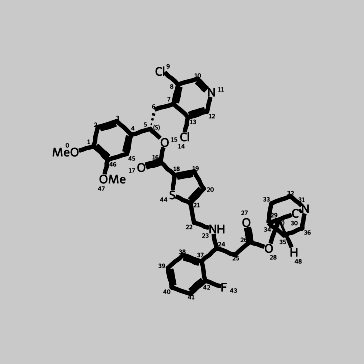 COc1ccc([C@H](Cc2c(Cl)cncc2Cl)OC(=O)c2ccc(CNC(CC(=O)O[C@H]3CN4CCC3CC4)c3ccccc3F)s2)cc1OC